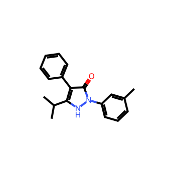 Cc1cccc(-n2[nH]c(C(C)C)c(-c3ccccc3)c2=O)c1